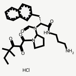 CCC(C)(C)C(=O)C(=O)C(=O)N1CCCC1N(C=O)[C@H](Cc1ccc2ccccc2c1)C(=O)NCCCN.Cl